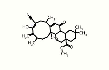 C=C1/C(O)=C(/C#N)CC(C)C2=CC(=O)C3C(CCC4(C(=O)OC)CCC(C)(C)CC34)C2(C)CCC1C